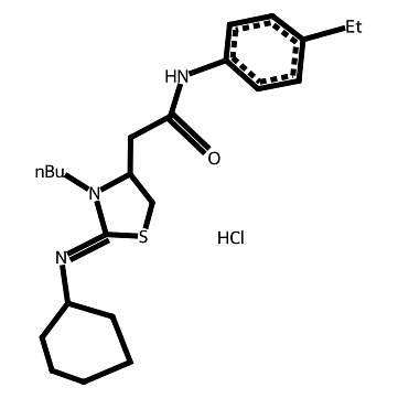 CCCCN1C(=NC2CCCCC2)SCC1CC(=O)Nc1ccc(CC)cc1.Cl